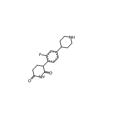 O=C1CCC(c2ccc(C3CCNCC3)cc2F)C(=O)N1